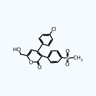 CS(=O)(=O)c1ccc(-c2c(-c3ccc(Cl)cc3)cc(CO)oc2=O)cc1